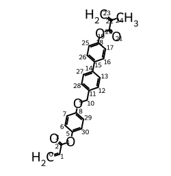 C=CC(=O)Oc1ccc(OCc2ccc(-c3ccc(OC(=O)C(=C)C)cc3)cc2)cc1